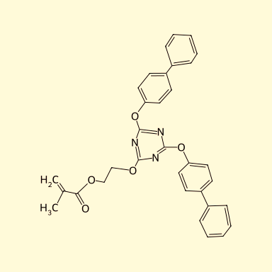 C=C(C)C(=O)OCCOc1nc(Oc2ccc(-c3ccccc3)cc2)nc(Oc2ccc(-c3ccccc3)cc2)n1